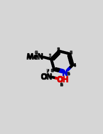 CNc1cccnc1.O=NO